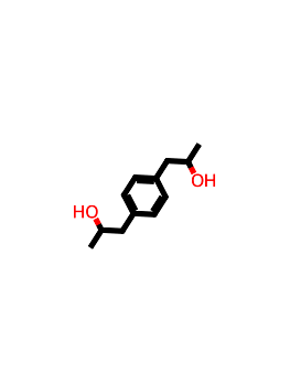 CC(O)Cc1ccc(CC(C)O)cc1